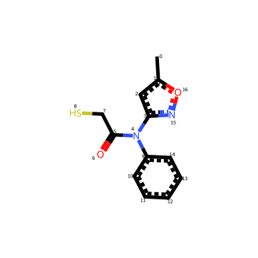 Cc1cc(N(C(=O)CS)c2ccccc2)no1